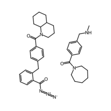 CNCc1ccc(C(=O)N2CCCCCC2)cc1.[N-]=[N+]=NC(=O)c1ccccc1Cc1ccc(C(=O)N2CCCC3CCCCC32)cc1